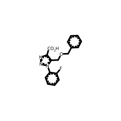 O=C(O)c1nnn(-c2ccccc2F)c1COCc1ccccc1